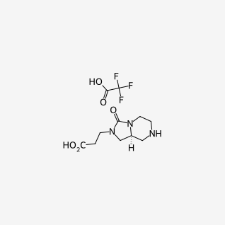 O=C(O)C(F)(F)F.O=C(O)CCN1C[C@@H]2CNCCN2C1=O